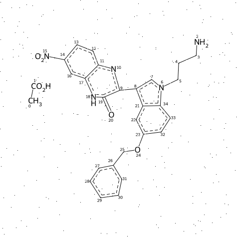 CC(=O)O.NCCCn1cc(-c2nc3ccc([N+](=O)[O-])cc3[nH]c2=O)c2cc(OCc3ccccc3)ccc21